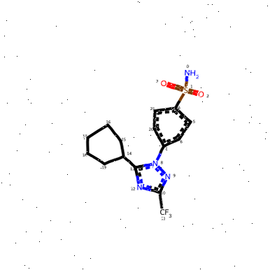 NS(=O)(=O)c1ccc(-n2nc(C(F)(F)F)nc2C2CCCCC2)cc1